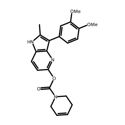 COc1ccc(-c2c(C)[nH]c3ccc(OC(=O)N4CC=CCC4)nc23)cc1OC